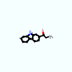 CCC(=O)c1ccc2c(c1)[nH]c1ccccc12